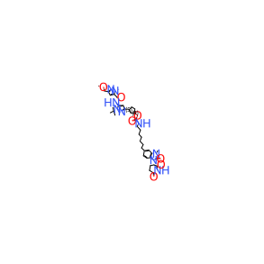 COCc1cc(C(=O)Nc2cc([C@H]3CC[C@@H](OC(=O)NCCCCCCCc4ccc5c(c4)n(C)c(=O)n5C4CCC(=O)NC4=O)C3)nn2C(C)(C)C)n(C)n1